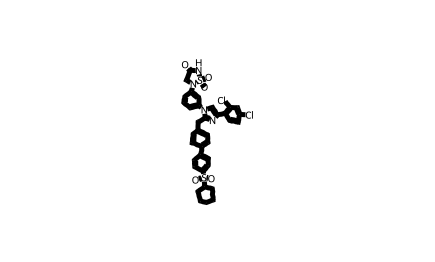 O=C1CN(c2cccc(-n3cc(-c4ccc(Cl)cc4Cl)nc3Cc3ccc(-c4ccc(S(=O)(=O)C5CCCCC5)cc4)cc3)c2)S(=O)(=O)N1